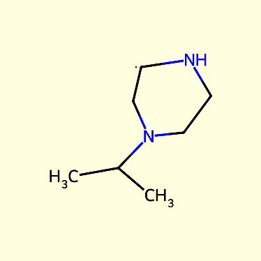 CC(C)N1C[CH]NCC1